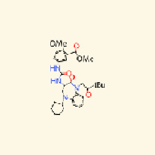 COC(=O)c1cc(NC(=O)NC2CN(C3CCCCC3)c3ccccc3N(CC(=O)C(C)(C)C)C2=O)ccc1OC